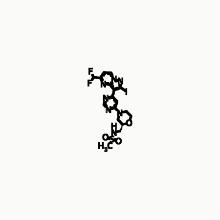 CS(=O)(=O)NC[C@@H]1CN(c2cc(-c3c(I)nn4ccc(C(F)F)nc34)ncn2)CCO1